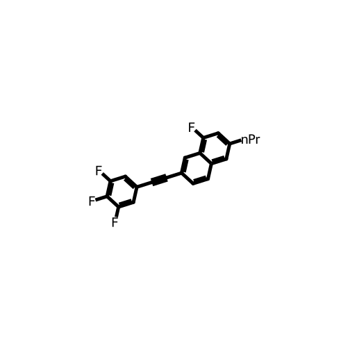 CCCc1cc(F)c2cc(C#Cc3cc(F)c(F)c(F)c3)ccc2c1